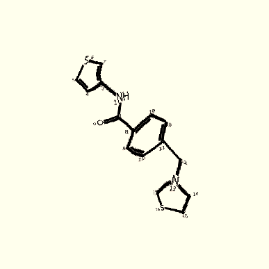 O=C(Nc1ccsc1)c1ccc(CN2CCSC2)cc1